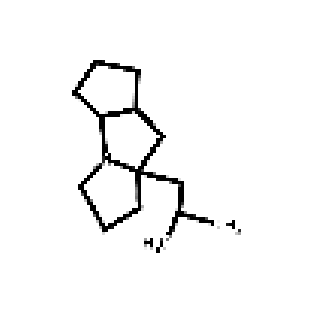 CC(C)CC12CCCN1C1CCCC1C2